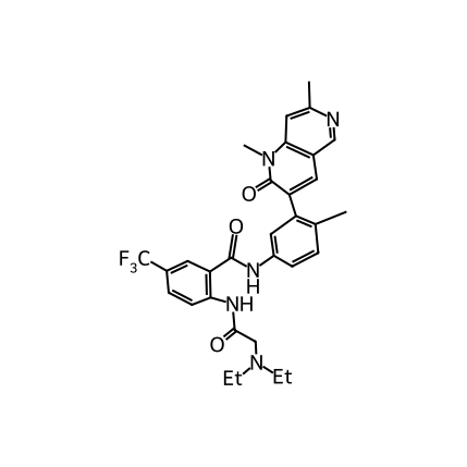 CCN(CC)CC(=O)Nc1ccc(C(F)(F)F)cc1C(=O)Nc1ccc(C)c(-c2cc3cnc(C)cc3n(C)c2=O)c1